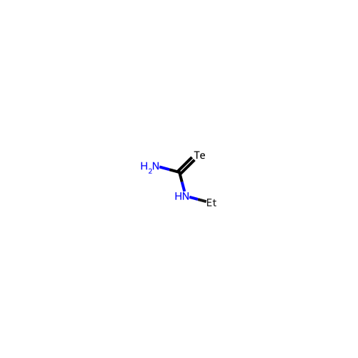 CCNC(N)=[Te]